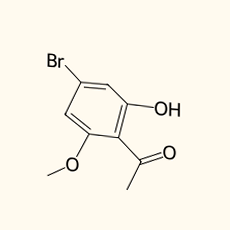 COc1cc(Br)cc(O)c1C(C)=O